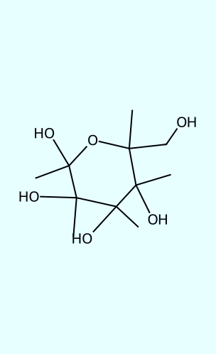 CC1(O)OC(C)(CO)C(C)(O)C(C)(O)C1(C)O